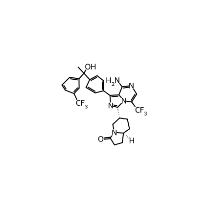 CC(O)(c1ccc(-c2nc([C@@H]3CC[C@H]4CCC(=O)N4C3)n3c(C(F)(F)F)cnc(N)c23)cc1)c1cccc(C(F)(F)F)c1